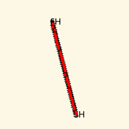 SSSSSSSSSSSSSSSSSSSSSSSSSSSSSSSSSSSSSSSSSSSSSSSSSSSSSSSSSSSSSSSSSSSSSSSSSSSSSSSSSSSSSSS